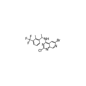 Cc1c(C(C)Nc2nc(Cl)nc3cnc(Br)cc23)cccc1C(F)(F)F